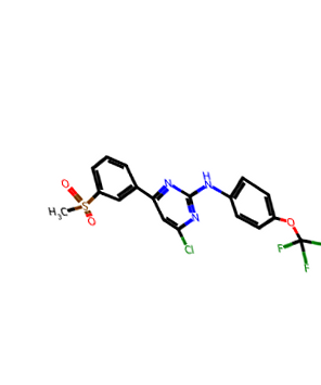 CS(=O)(=O)c1cccc(-c2cc(Cl)nc(Nc3ccc(OC(F)(F)F)cc3)n2)c1